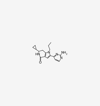 CCCn1c(-c2ccnc(N)n2)cc2c1CC(C1CC1)NC2=O